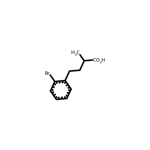 CC(CCc1ccccc1Br)C(=O)O